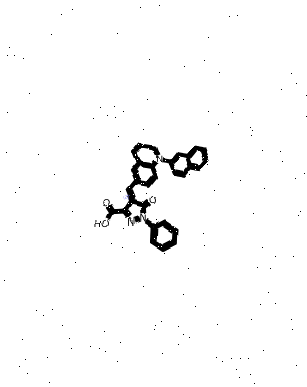 O=C(O)C1=NN(c2ccccc2)C(=O)/C1=C\c1ccc2c(c1)CCCN2c1ccc2ccccc2c1